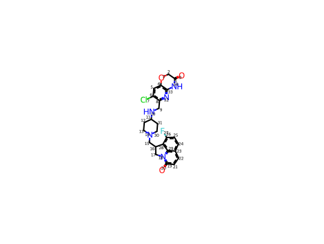 O=C1COc2cc(Cl)c(CNC3CCN(CC4Cn5c(=O)ccc6ccc(F)c4c65)CC3)nc2N1